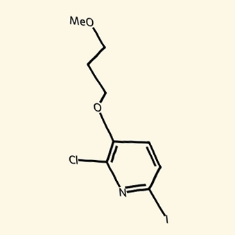 COCCCOc1ccc(I)nc1Cl